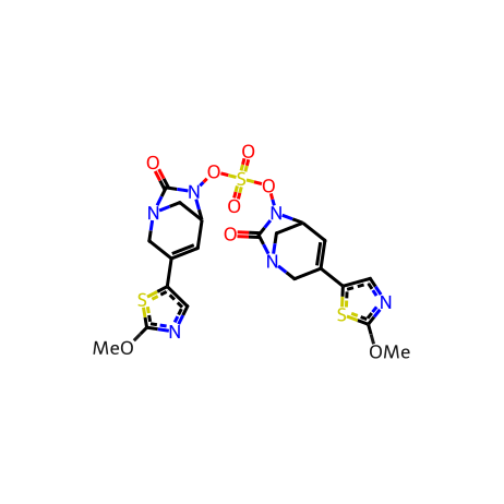 COc1ncc(C2=CC3CN(C2)C(=O)N3OS(=O)(=O)ON2C(=O)N3CC(c4cnc(OC)s4)=CC2C3)s1